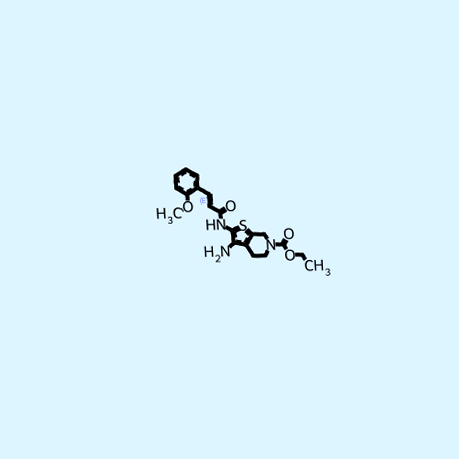 CCOC(=O)N1CCc2c(sc(NC(=O)/C=C/c3ccccc3OC)c2N)C1